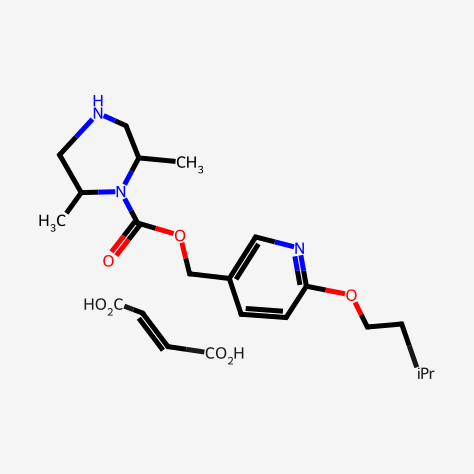 CC(C)CCOc1ccc(COC(=O)N2C(C)CNCC2C)cn1.O=C(O)C=CC(=O)O